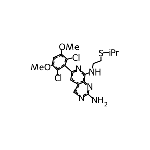 COc1cc(OC)c(Cl)c(-c2cc3cnc(N)nc3c(NCCSC(C)C)n2)c1Cl